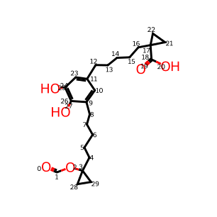 O=COC1(CCCCCc2cc(CCCCCC3(C(=O)O)CC3)cc(O)c2O)CC1